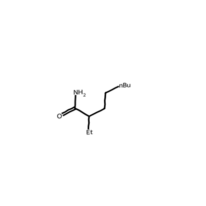 [CH2]CC(CCCCCC)C(N)=O